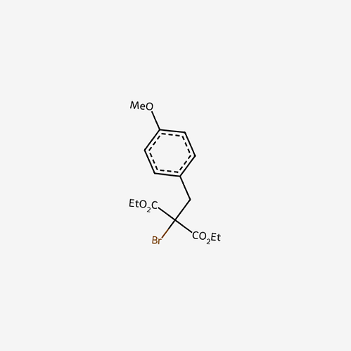 CCOC(=O)C(Br)(Cc1ccc(OC)cc1)C(=O)OCC